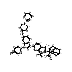 O=C(NC1(C(=O)O)C2CC3CC(C2)CC1C3)c1ccc(-c2cn(-c3ccc(F)cn3)c3cc(OC4CCN(c5ncccn5)CC4)ccc23)nc1C(F)(F)F